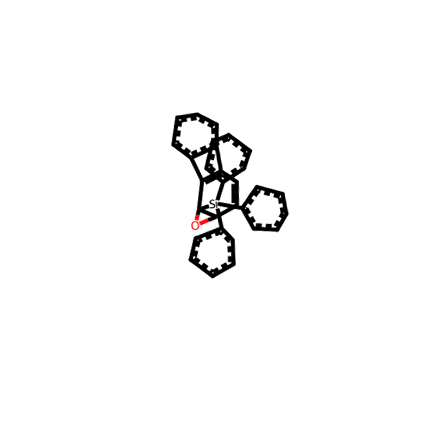 C1=CC2OC2([Si](c2ccccc2)(c2ccccc2)c2ccccc2)C2=C1c1ccccc12